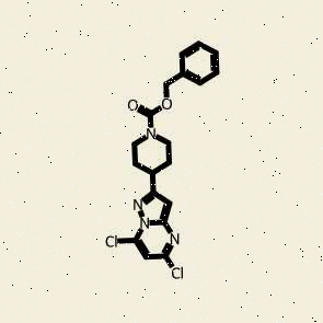 O=C(OCc1ccccc1)N1CCC(c2cc3nc(Cl)cc(Cl)n3n2)CC1